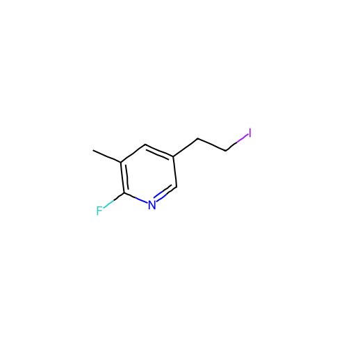 Cc1cc(CCI)cnc1F